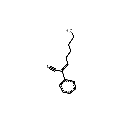 CCCCC/C=C(\C#N)c1ccccc1